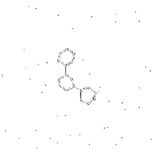 c1ccc(-c2cncc(-c3ccncc3)c2)nc1